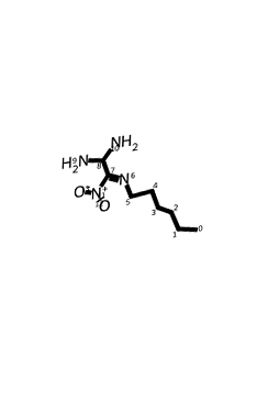 CCCCCCN=C(C(N)N)[N+](=O)[O-]